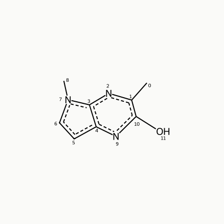 Cc1nc2c(ccn2C)nc1O